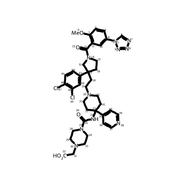 COc1ccc(-n2cnnn2)cc1C(=O)N1CCC(CCN2CCC(NC(=O)N3CCN(CC(=O)O)CC3)(c3ccncc3)CC2)(c2ccc(Cl)c(Cl)c2)C1